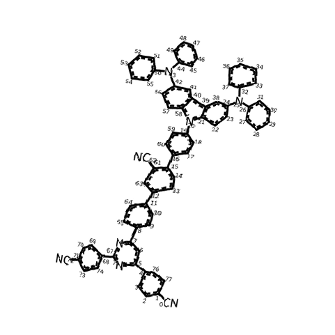 N#Cc1ccc(-c2cc(-c3ccc(-c4ccc(-c5ccc(-n6c7ccc(N(c8ccccc8)c8ccccc8)cc7c7cc(N(c8ccccc8)c8ccccc8)ccc76)cc5)c(C#N)c4)cc3)nc(-c3ccc(C#N)cc3)n2)cc1